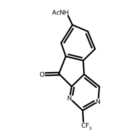 CC(=O)Nc1ccc2c(c1)C(=O)c1nc(C(F)(F)F)ncc1-2